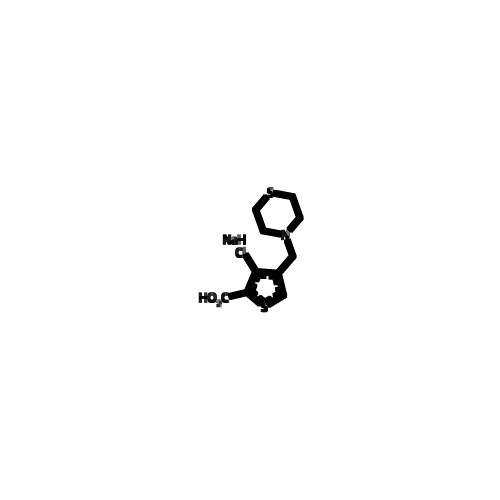 O=C(O)c1scc(CN2CCSCC2)c1Cl.[NaH]